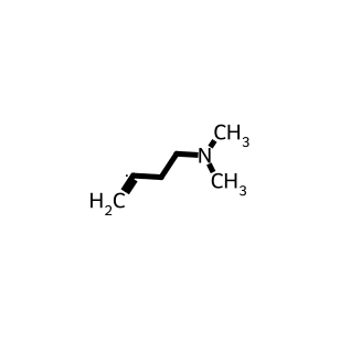 C=[C]CCN(C)C